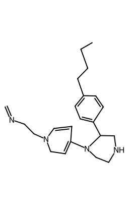 C=NCCN1C=CC(N2CCNCC2c2ccc(CCCC)cc2)=CC1